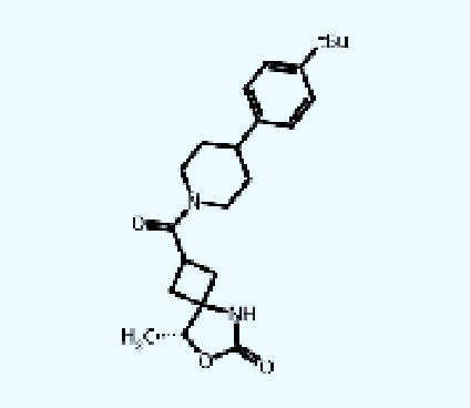 C[C@H]1OC(=O)NC12CC(C(=O)N1CCC(c3ccc(C(C)(C)C)cc3)CC1)C2